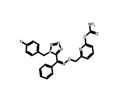 NC(=O)Oc1cccc(CON=C(c2ccccc2)c2nnnn2Cc2ccc(F)cc2)n1